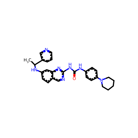 CC(Nc1ccc2cnc(NC(=O)Nc3ccc(N4CCCCC4)cc3)nc2c1)c1cccnc1